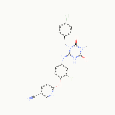 Cn1c(=O)[nH]/c(=N\c2ccc(Oc3ccc(C#N)cn3)c(F)c2)n(Cc2ccc(Cl)cc2)c1=O